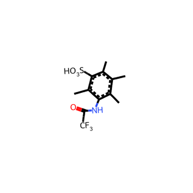 Cc1c(C)c(NC(=O)C(F)(F)F)c(C)c(S(=O)(=O)O)c1C